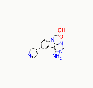 Cc1cc(-c2ccncc2)cc2c3c(N)ncnc3n(CC(=O)O)c12